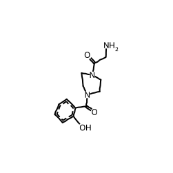 NCC(=O)N1CCN(C(=O)c2ccccc2O)CC1